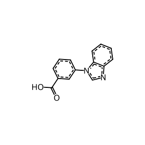 O=C(O)c1cccc(-n2cnc3ccccc32)c1